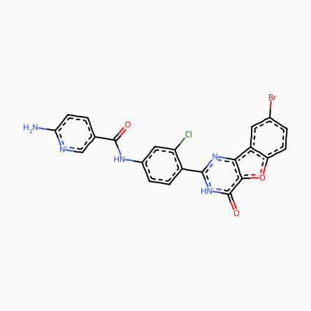 Nc1ccc(C(=O)Nc2ccc(-c3nc4c(oc5ccc(Br)cc54)c(=O)[nH]3)c(Cl)c2)cn1